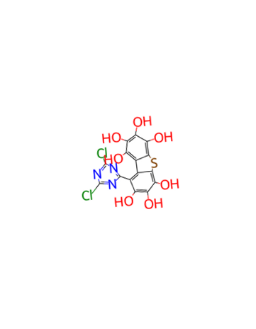 Oc1c(O)c(O)c2c(sc3c(O)c(O)c(O)c(-c4nc(Cl)nc(Cl)n4)c32)c1O